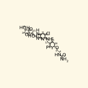 NC(=O)NCCOc1cc(F)c(CNc2nc3nc(O[C@@H]4CO[C@H]5[C@@H]4OC[C@H]5O)[nH]c3cc2Cl)c(F)c1